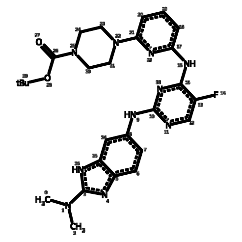 CN(C)c1nc2ccc(Nc3ncc(F)c(Nc4cccc(N5CCN(C(=O)OC(C)(C)C)CC5)n4)n3)cc2[nH]1